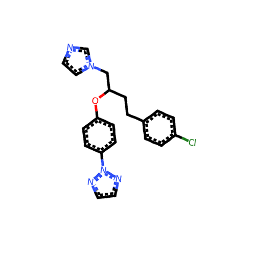 Clc1ccc(CCC(Cn2ccnc2)Oc2ccc(-n3nccn3)cc2)cc1